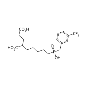 O=C(O)CCC(CCCCCP(=O)(O)Cc1cccc(C(F)(F)F)c1)C(=O)O